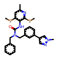 CSc1cc(C)nc(SC)c1NC(=O)N(Cc1ccccc1)Cc1cccc(-c2cnn(C)c2)c1